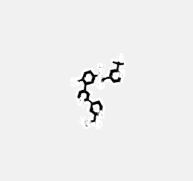 CNC(=O)c1cc(-c2cc(-c3cc(NC(=O)c4ccnc(C(C)(C)F)c4)ccc3Cl)ccn2)ccn1